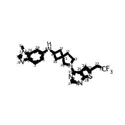 Cn1cnc2ccc(NC3CC4(CCN(c5ncnc6sc(CC(F)(F)F)cc56)C4)C3)cc21